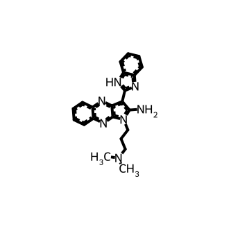 CN(C)CCCn1c(N)c(-c2nc3ccccc3[nH]2)c2nc3ccccc3nc21